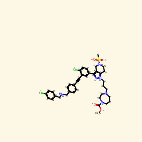 CC(C)(C)OC(=O)N1CCCN(CCCn2nc(-c3ccc(Cl)c(C#Cc4ccc(CNCc5ccc(Cl)cc5)cc4)c3)c3c2CCN(S(C)(=O)=O)C3)CC1